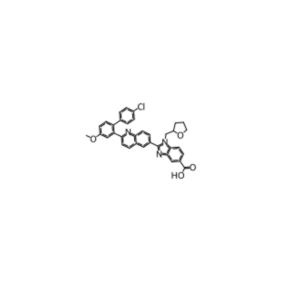 COc1ccc(-c2ccc(Cl)cc2)c(-c2ccc3cc(-c4nc5cc(C(=O)O)ccc5n4CC4CCCO4)ccc3n2)c1